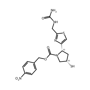 NC(=O)NCc1nc([C@@H]2C[C@H](S)CN2C(=O)OCc2ccc([N+](=O)[O-])cc2)cs1